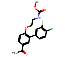 COC(=O)c1ccc(OCCNC(=O)OC(C)(C)C)c(-c2ccc(Cl)c(F)c2)c1